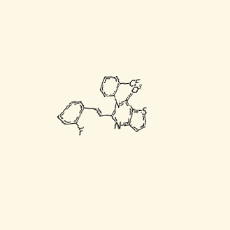 O=c1c2sccc2nc(/C=C/c2ccccc2F)n1-c1ccccc1C(F)(F)F